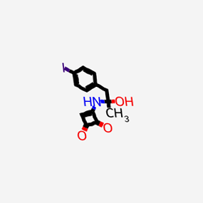 CC(O)(Cc1ccc(I)cc1)Nc1cc(=O)c1=O